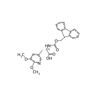 COc1cc(C[C@H](NC(=O)OCC2c3ccccc3-c3ccccc32)C(=O)O)cnc1OC